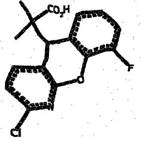 CC(C)(C(=O)O)C1c2ccc(Cl)nc2Oc2c(F)cccc21